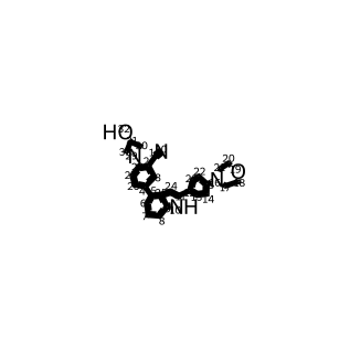 N#Cc1cc(-c2cccc3[nH]c(-c4ccc(N5CCOCC5)cc4)cc23)ccc1N1CC(O)C1